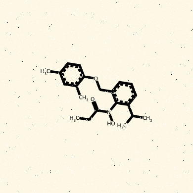 CCC(=O)N(O)c1c(COc2ccc(C)cc2C)cccc1C(C)C